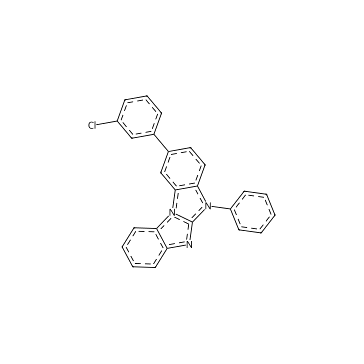 Clc1cccc(-c2ccc3c(c2)n2c4ccccc4nc2n3-c2ccccc2)c1